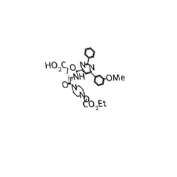 CCOC(=O)ON1CCN(C(=O)[C@H](CCC(=O)O)NC(=O)c2cc(-c3cccc(OC)c3)nc(-c3ccccc3)n2)CC1